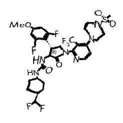 COc1cc(F)c([C@@H]2CN(c3nccc(N4CCN(S(C)(=O)=O)CC4)c3C(F)(F)F)C(=O)C2NC(=O)N[C@H]2CC[C@H](C(F)F)CC2)c(F)c1